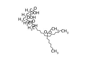 CC(=O)O.CC(=O)O.CC(=O)O.CC(=O)O.CCCCCCCC(CCCCCCC)(CCCCCCC)C(=O)OCC